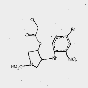 O=C(CCl)OC1CN(C(=O)O)CC1Nc1ccc(Br)cc1[N+](=O)[O-]